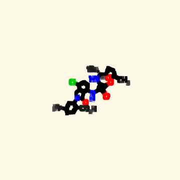 Cc1ccc([C@H](Nc2c(Nc3ccc(Cl)c4c3C(=O)N(c3cc(C(C)C)ccc3C(=O)O)C4)c(=O)c2=O)C(C)(C)C)o1